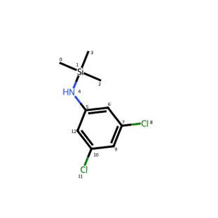 C[Si](C)(C)Nc1cc(Cl)cc(Cl)c1